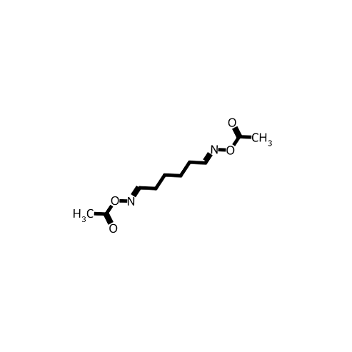 CC(=O)ON=CCCCCC=NOC(C)=O